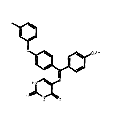 COc1ccc(C(=Nc2c[nH]c(=O)[nH]c2=O)c2ccc(Oc3cccc(C)c3)cc2)cc1